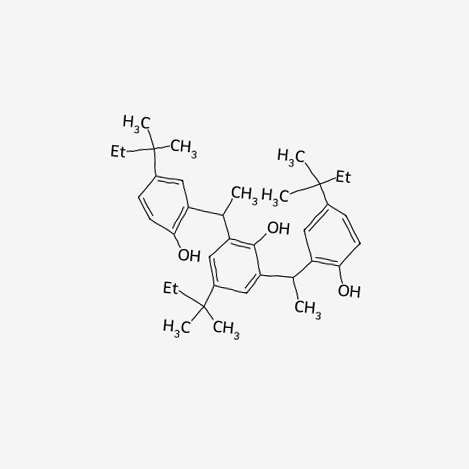 CCC(C)(C)c1ccc(O)c(C(C)c2cc(C(C)(C)CC)cc(C(C)c3cc(C(C)(C)CC)ccc3O)c2O)c1